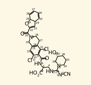 N#C/N=C(/NC[C@H](NC(=O)c1c(Cl)cc2c(c1Cl)CCN(C(=O)C1=CC3C=CC=CC3O1)C2)C(=O)O)N1CCC[C@@H](O)C1